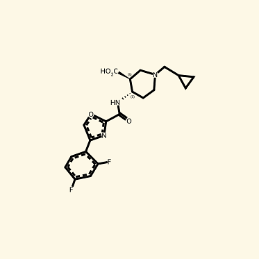 O=C(N[C@H]1CCN(CC2CC2)C[C@@H]1C(=O)O)c1nc(-c2ccc(F)cc2F)co1